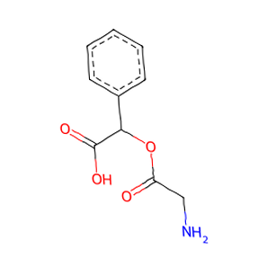 NCC(=O)OC(C(=O)O)c1ccccc1